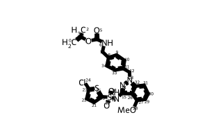 C=C(C)OC(=O)NCc1ccc(Cn2nc(NS(=O)(=O)c3ccc(Cl)s3)c3c(OC)cccc32)cc1